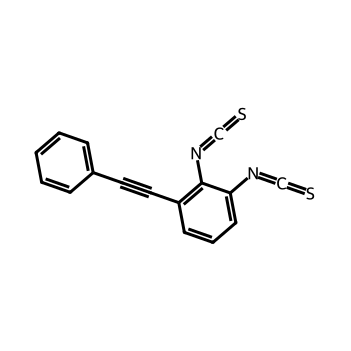 S=C=Nc1cccc(C#Cc2ccccc2)c1N=C=S